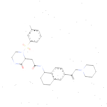 C=C(CN1CCCCC1)c1ccc2c(c1)CCCC2NC(=O)CC1C(=O)NCCN1S(=O)(=O)c1cccc(C(F)(F)F)c1